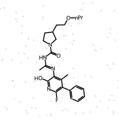 CCCOCCC1CCN(C(=O)N/C(C)=N/c2c(O)nc(F)c(-c3ccccc3)c2C)C1